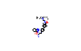 CN(C)CCN1Cc2cc(-c3ccc(CC(C#N)NC(=O)C4(N)CCCCC4)cc3)ccc2C1=O